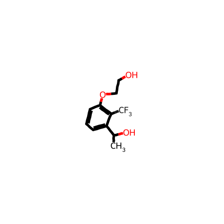 CC(O)c1cccc(OCCO)c1C(F)(F)F